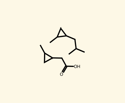 CC(C)CC1[C]C1C.CC1C[C]1CC(=O)O